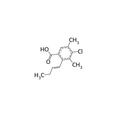 CC/C=C/c1c(C(=O)O)cc(C)c(Cl)c1C